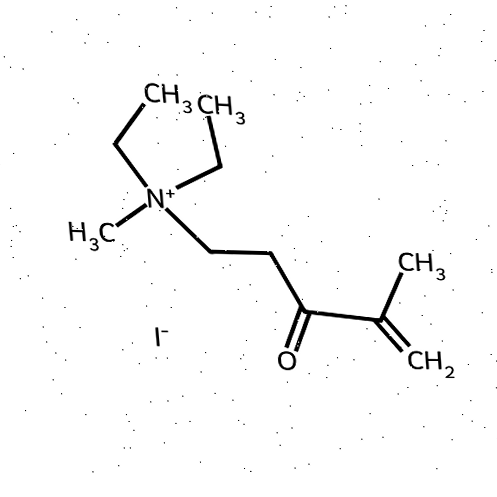 C=C(C)C(=O)CC[N+](C)(CC)CC.[I-]